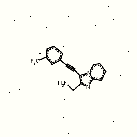 NCc1nc2ccccn2c1C#Cc1cccc(C(F)(F)F)c1